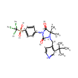 CC(C)(C)c1cnccc1CN1C(=O)N(c2ccc(S(=O)(=O)C(F)(F)F)cc2)C(=O)C1(C)C